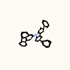 c1ccc(-c2ccc3c(c2)c2cc(-c4ccccc4)ccc2n3-c2cc3c4c(cccc4c2)-c2ccccc2-3)cc1